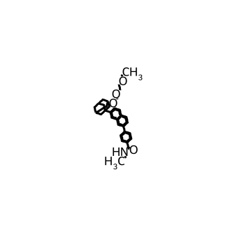 CCNC(=O)c1ccc(-c2ccc3cc(OCOCCOCC)c(C45CC6CC(CC(C6)C4)C5)cc3c2)cc1